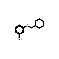 Sc1cccc(OCC2CCCCC2)c1